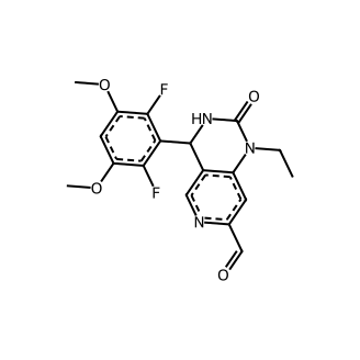 CCN1C(=O)NC(c2c(F)c(OC)cc(OC)c2F)c2cnc(C=O)cc21